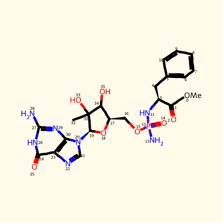 COC(=O)[C@H](Cc1ccccc1)NP(N)(=O)OC[C@H]1O[C@@H](n2cnc3c(=O)[nH]c(N)nc32)C(C)(O)C1O